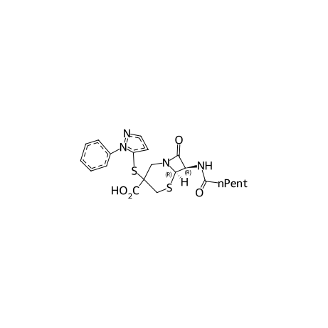 CCCCCC(=O)N[C@@H]1C(=O)N2CC(Sc3ccnn3-c3ccccc3)(C(=O)O)CS[C@H]12